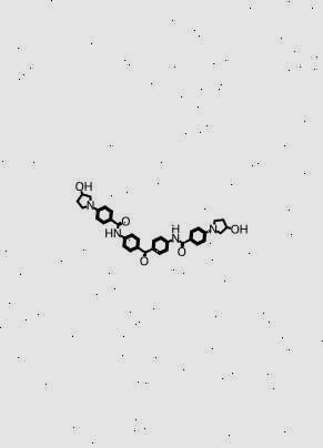 O=C(Nc1ccc(C(=O)c2ccc(NC(=O)c3ccc(N4CCC(O)C4)cc3)cc2)cc1)c1ccc(N2CCC(O)C2)cc1